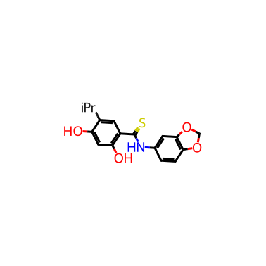 CC(C)c1cc(C(=S)Nc2ccc3c(c2)OCO3)c(O)cc1O